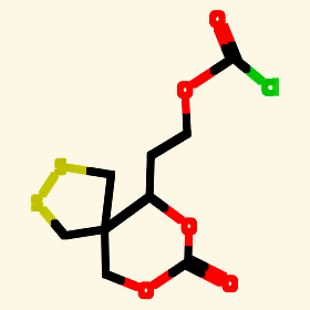 O=C(Cl)OCCC1OC(=O)OCC12CSSC2